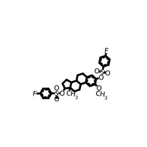 COc1cc2c(cc1OS(=O)(=O)c1ccc(F)cc1)CCC1C2CCC2(C)C(OS(=O)(=O)c3ccc(F)cc3)CCC12